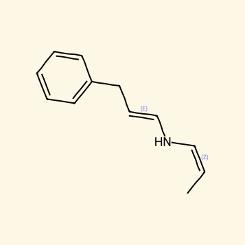 C/C=C\N/C=C/Cc1ccccc1